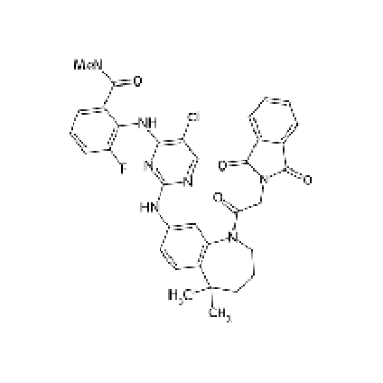 CNC(=O)c1cccc(F)c1Nc1nc(Nc2ccc3c(c2)N(C(=O)CN2C(=O)c4ccccc4C2=O)CCCC3(C)C)ncc1Cl